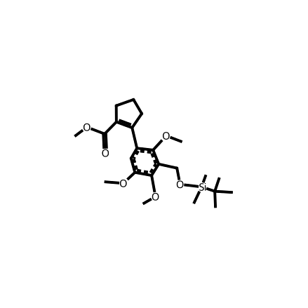 COC(=O)C1=C(c2cc(OC)c(OC)c(CO[Si](C)(C)C(C)(C)C)c2OC)CCC1